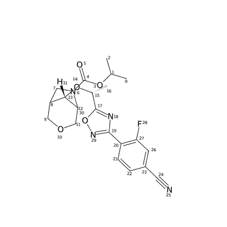 CC(C)OC(=O)N1CC2COCC1[C@H]2O[C@H](C)c1nc(-c2ccc(C#N)cc2F)no1